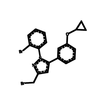 BrCc1cc(-c2cccc(OC3CC3)c2)n(-c2ccccc2Br)n1